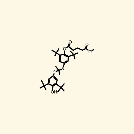 COC(=O)CCCC(=O)Oc1c(C(C)(C)C)cc(SC(C)(C)Sc2cc(C(C)(C)C)c(O)c(C(C)(C)C)c2)cc1C(C)(C)C